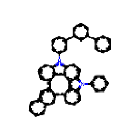 c1ccc(-c2cccc(-c3cccc(-n4c5cccc6c7cc8ccccc8cc7c7cccc8c7c7c(c65)c4ccc7n8-c4ccccc4)c3)c2)cc1